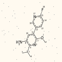 COc1nc(C(C)C)c(N)cc1-c1ccc(F)nc1